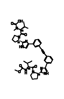 COC(=O)N[C@H](C(=O)N1CCC[C@H]1c1nc(-c2cccc(C#Cc3cccc(-c4c[nH]c([C@@H]5CCCN5C(=O)[C@H](C(C)C)N(C)C(=O)O)n4)c3)c2)c[nH]1)C(C)C